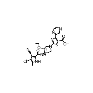 CCO[C@H]1CN(c2nc(-c3cnccn3)c(C(=O)O)s2)CC[C@H]1NC(=O)c1[nH]c(C)c(Cl)c1C#N